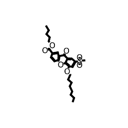 CCCCCCCCOc1cc(S(C)(=O)=O)cc2c(=O)c3cc(C(=O)OCCCCC)ccc3oc12